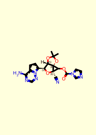 CC1(C)O[C@H]2[C@H](c3ccc4c(N)ncnn34)O[C@]3(C#N)C(OC(=O)n4ccnc4)[C@]23O1